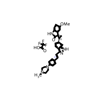 COc1ccc2c(c1)[C@]1(C[C@H]1c1ccc3c(/C=C/c4ccc(N5CCN(C)CC5)cc4)n[nH]c3c1)C(=O)N2.O=C(O)C(F)(F)F